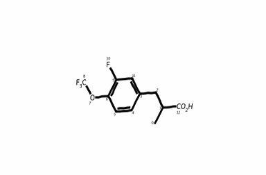 CC(Cc1ccc(OC(F)(F)F)c(F)c1)C(=O)O